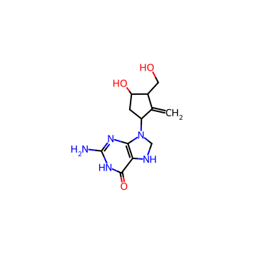 C=C1C(CO)C(O)CC1N1CNc2c1nc(N)[nH]c2=O